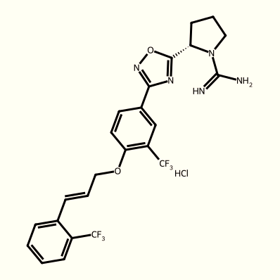 Cl.N=C(N)N1CCC[C@H]1c1nc(-c2ccc(OC/C=C/c3ccccc3C(F)(F)F)c(C(F)(F)F)c2)no1